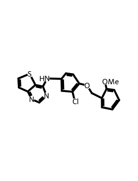 COc1ccccc1COc1ccc(Nc2ncnc3ccsc23)cc1Cl